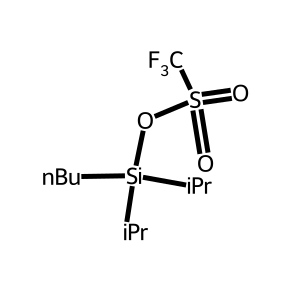 CCCC[Si](OS(=O)(=O)C(F)(F)F)(C(C)C)C(C)C